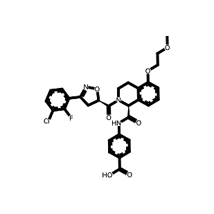 COCCOc1cccc2c1CCN(C(=O)[C@H]1CC(c3cccc(Cl)c3F)=NO1)[C@@H]2C(=O)Nc1ccc(C(=O)O)cc1